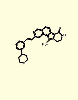 Cn1c2c(c3ccc4cnc(C=Cc5cccc(N6CCOCC6)c5)cc4c31)C(=O)NCC2